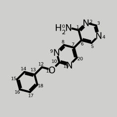 Nc1ncncc1-c1cnc(OCc2ccccc2)nc1